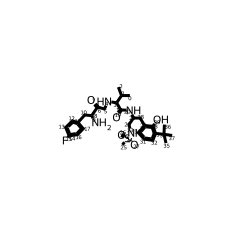 CC(C)C(NCC(=O)C(N)Cc1ccc(F)cc1)C(=O)NC(CNS(C)(=O)=O)Cc1cccc(C(C)(C)C)c1O